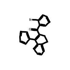 O=C(C1=C(c2ccccc2)c2ccccc2CC1)c1ccccc1Br